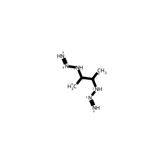 CC(NN=N)C(C)NN=N